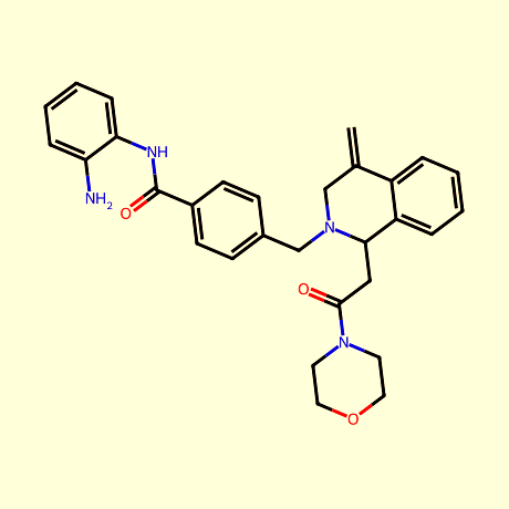 C=C1CN(Cc2ccc(C(=O)Nc3ccccc3N)cc2)C(CC(=O)N2CCOCC2)c2ccccc21